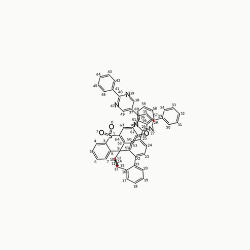 O=S1(=O)c2ccccc2C2(c3ccccc3-c3ccccc3-c3ccc(-c4nc(-c5ccccc5)cc(-c5cnc(-c6ccccc6)nc5)n4)cc32)c2cc3oc4ccccc4c3cc21